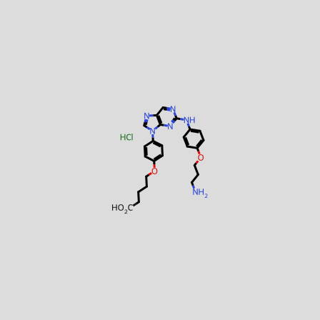 Cl.NCCCOc1ccc(Nc2ncc3ncn(-c4ccc(OCCCCC(=O)O)cc4)c3n2)cc1